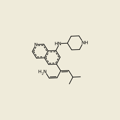 CC(C)/C=C(\C=C/N)c1cc(NC2CCNCC2)c2cnccc2c1